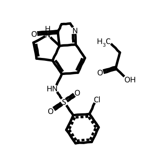 CCC(=O)O.O=C1CCN=C2C=CC(NS(=O)(=O)c3ccccc3Cl)=C3C=CNC123